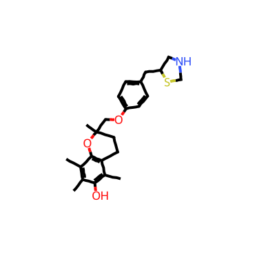 Cc1c(C)c2c(c(C)c1O)CCC(C)(COc1ccc(CC3CNCS3)cc1)O2